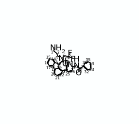 NCCCN(CC(F)(F)F)C(=O)C1c2ccccc2-c2cccc(-c3ccc(NC(=O)c4ccccc4)nc3)c21